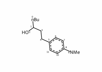 CCCCC(O)CCc1ccc(NC)cc1